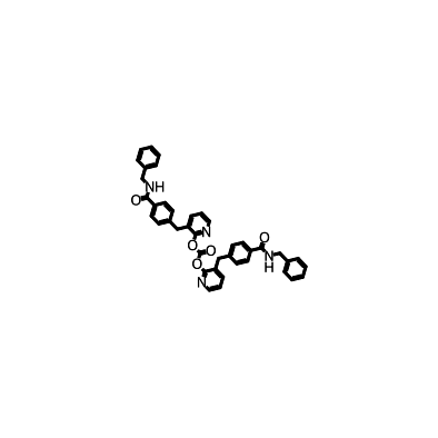 O=C(Oc1ncccc1Cc1ccc(C(=O)NCc2ccccc2)cc1)Oc1ncccc1Cc1ccc(C(=O)NCc2ccccc2)cc1